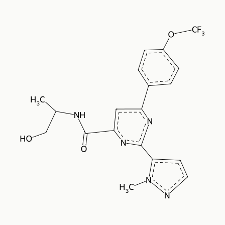 CC(CO)NC(=O)c1cc(-c2ccc(OC(F)(F)F)cc2)nc(-c2ccnn2C)n1